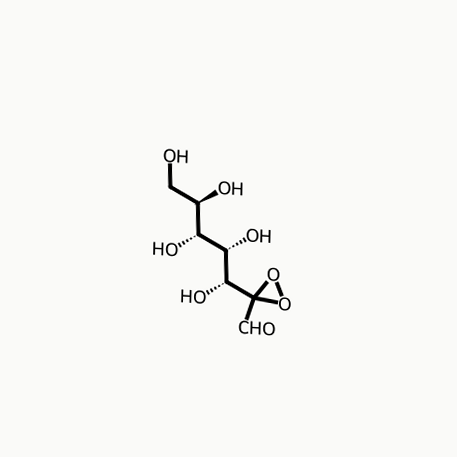 O=CC1([C@H](O)[C@@H](O)[C@H](O)[C@H](O)CO)OO1